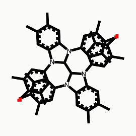 Cc1cc2c(cc1C)N(c1cc(C)c(C)c(C)c1)C(C1N(c3cc(C)c(C)c(C)c3)c3cc(C)c(C)cc3N1c1cc(C)c(C)c(C)c1)N2c1cc(C)c(C)c(C)c1